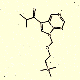 CC(C)C(=O)c1cn(COCC[Si](C)(C)C)c2ncncc12